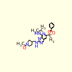 CC(=O)N1CCC(CNc2ncc3cc(C(C)OC(=O)c4ccccc4)nc(NC(C)C)c3n2)CC1